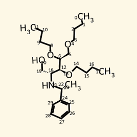 CCCCOC[C@H](OCCCC)[C@@H](OCCCC)[C@@H](CO)N[C@H](C)c1ccccc1